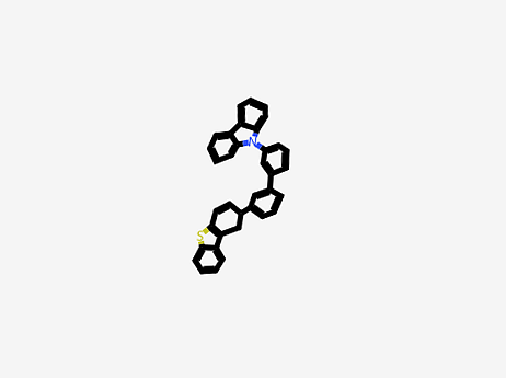 C1=CC(c2cccc(-c3cccc(-n4c5ccccc5c5ccccc54)c3)c2)Cc2c1sc1ccccc21